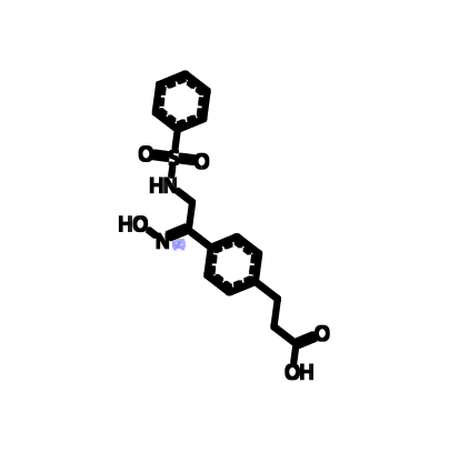 O=C(O)CCc1ccc(/C(CNS(=O)(=O)c2ccccc2)=N/O)cc1